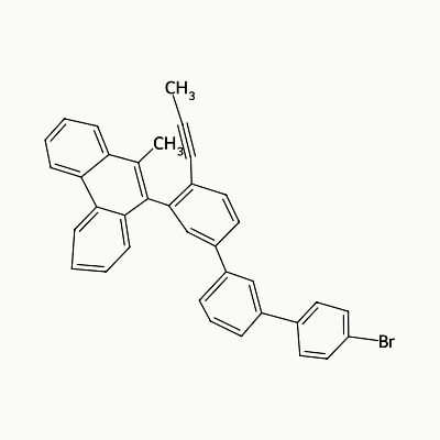 CC#Cc1ccc(-c2cccc(-c3ccc(Br)cc3)c2)cc1-c1c(C)c2ccccc2c2ccccc12